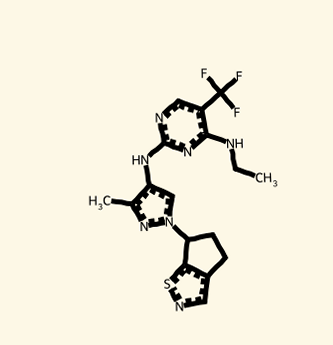 CCNc1nc(Nc2cn(C3CCc4cnsc43)nc2C)ncc1C(F)(F)F